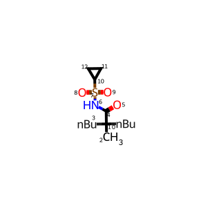 CCCCC(C)(CCCC)C(=O)NS(=O)(=O)C1CC1